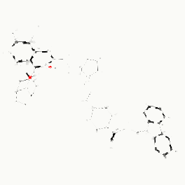 CC(C)(C)OC(=O)N1C2CCC1CN(c1nc(OC[C@@H]3CCCN3CCCC3CCN(C(=O)OCC4c5ccccc5-c5ccccc54)CC3)nc3c(F)c(Cl)ncc13)C2